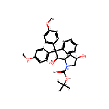 COc1ccc(C(c2ccccc2)(c2ccc(OC)cc2)C(O)C2CC(O)CN2C(=O)OC(C)(C)C)cc1